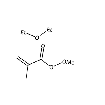 C=C(C)C(=O)OOC.CCOCC